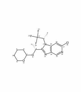 C[C@H](n1c([C@@H](C)OC2CCCCO2)nc2cnc(Cl)cc21)C(F)(F)F